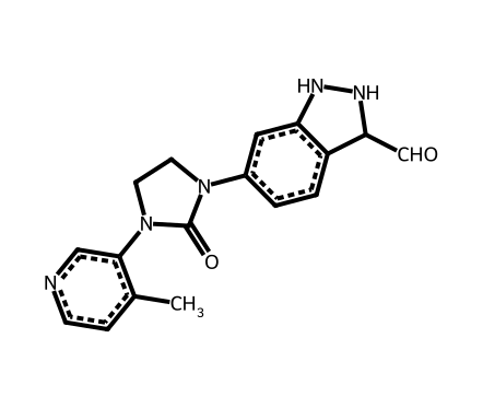 Cc1ccncc1N1CCN(c2ccc3c(c2)NNC3C=O)C1=O